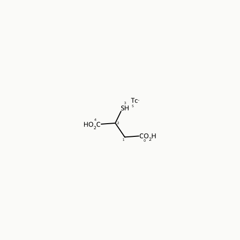 O=C(O)CC(S)C(=O)O.[Tc]